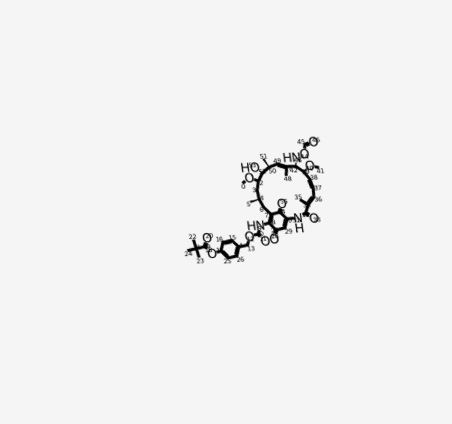 COC1C[C@H](C)CC2=C(NC(=O)OCc3ccc(OC(=O)C(C)(C)C)cc3)C(=O)C=C(NC(=O)/C(C)=C/C=C\[C@H](OC)[C@@H](NOC=O)/C(C)=C/[C@H](C)[C@H]1O)C2=O